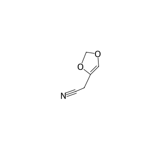 N#CCC1=COCO1